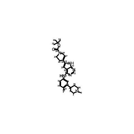 CN1CCC(c2cc(Nc3ncnc4[nH]c(C5=CCN(C(=O)OC(C)(C)C)CC5)cc34)ccc2F)CC1